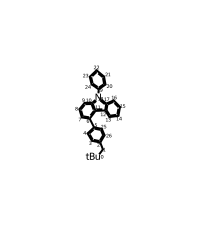 CC(C)(C)Cc1ccc(-c2cccc3c2c2ccccc2n3-c2ccccc2)cc1